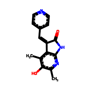 Cc1nc2c(c(C)c1O)/C(=C/c1ccncc1)C(=O)N2